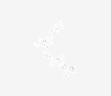 CCCc1nc(C(C)SCc2ccc(Oc3ccc(NC(=O)COc4ccc(CC5SC(=O)NC5=O)cc4)c(N(C)C(=O)OC(C)(C)C)c3)nc2)c(C(=O)OCC)n1Cc1ccc(-c2ccccc2-c2nnn[nH]2)cc1